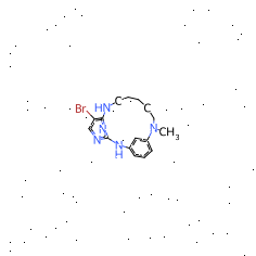 CN1CCCCCNc2nc(ncc2Br)Nc2cccc1c2